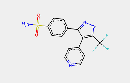 NS(=O)(=O)c1ccc(C2=N[N]C(C(F)(F)F)=C2c2ccncc2)cc1